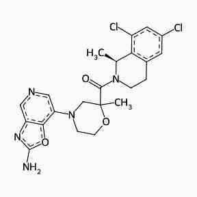 C[C@H]1c2c(Cl)cc(Cl)cc2CCN1C(=O)C1(C)CN(c2cncc3nc(N)oc23)CCO1